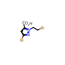 O=C(O)c1cc(Br)nn1CCBr